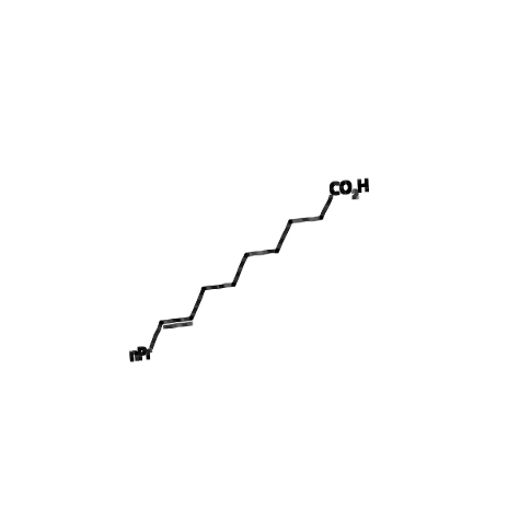 CCCC=CCCCCCCC(=O)O